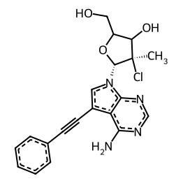 C[C@@]1(Cl)C(O)C(CO)O[C@H]1n1cc(C#Cc2ccccc2)c2c(N)ncnc21